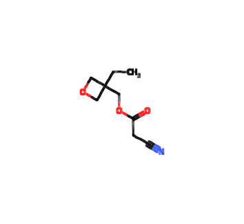 CCC1(COC(=O)CC#N)COC1